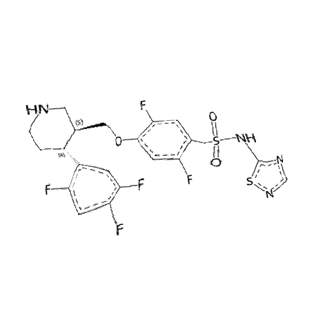 O=S(=O)(Nc1ncns1)c1cc(F)c(OC[C@@H]2CNCC[C@H]2c2cc(F)c(F)cc2F)cc1F